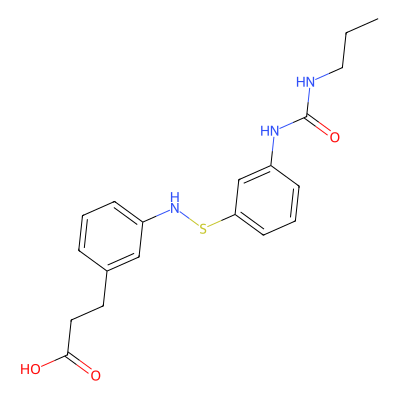 CCCNC(=O)Nc1cccc(SNc2cccc(CCC(=O)O)c2)c1